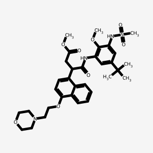 COC(=O)CC(C(=O)Nc1cc(C(C)(C)C)cc(NS(C)(=O)=O)c1OC)c1ccc(OCCN2CCOCC2)c2ccccc12